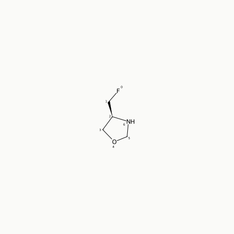 FC[C@@H]1COCN1